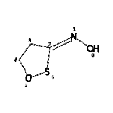 ON=C1CCOS1